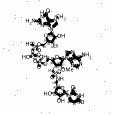 CC[C@H]1[C@@H](O)[C@H](n2c[n+](C)c3c(=O)[nH]c(N)nc32)O[C@@H]1COP(=O)(O)OP(=O)(O)OP(=O)(O)OC[C@H]1O[C@@H](n2cnc3c(N)ncnc32)[C@H](OC)[C@@H]1CS(=O)(=O)NC[C@H]1O[C@@H](n2ccc(=O)[nH]c2=O)[C@H](O)[C@@H]1O